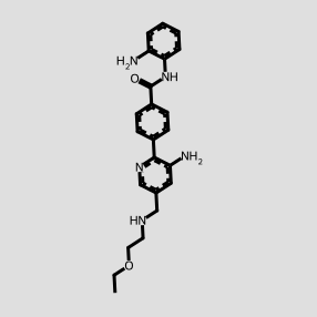 CCOCCNCc1cnc(-c2ccc(C(=O)Nc3ccccc3N)cc2)c(N)c1